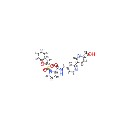 O=C(NCc1ccnc(-c2ccc(CO)nc2)c1)[C@@H]1CCCN1S(=O)(=O)c1cc2ccccc2o1